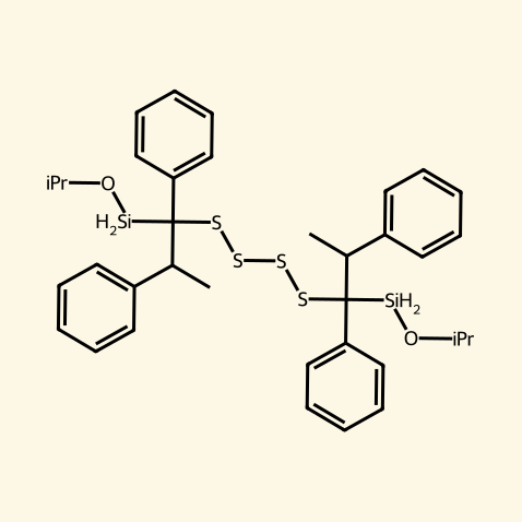 CC(C)O[SiH2]C(SSSSC([SiH2]OC(C)C)(c1ccccc1)C(C)c1ccccc1)(c1ccccc1)C(C)c1ccccc1